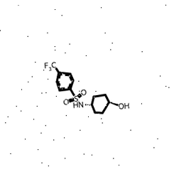 O=S(=O)(N[C@H]1CC[C@H](O)CC1)c1ccc(C(F)(F)F)cc1